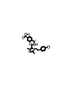 Cc1nc(C)n(CCc2ccc(Cl)cc2)c1C(=O)N[C@@H](C)c1ccc(C(=O)O)cc1